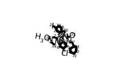 CN1CCN(c2cc(Cl)cc3c2S(=O)(=O)N(Cc2ccc(I)cc2)C(=O)N3Cc2ccccc2)CC1